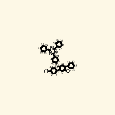 Clc1ccc2c3cc4oc5ccccc5c4cc3n(-c3ccc(-c4nc(-c5ccccc5)nc(-c5ccccc5)n4)cc3)c2c1